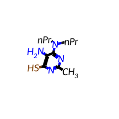 CCCN(CCC)c1nc(C)nc(S)c1N